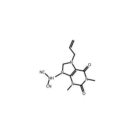 C=CCN1CN(C)c2c1c(=O)n(C)c(=O)n2C.N#CNC#N